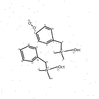 CCCCCCCCCC[N+](C)(C)Cc1ccccc1.CCCCCCCC[N+](C)(C)Cc1ccccc1.[O-][O-]